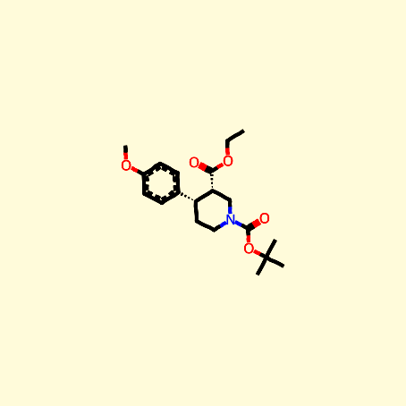 CCOC(=O)[C@@H]1CN(C(=O)OC(C)(C)C)CC[C@@H]1c1ccc(OC)cc1